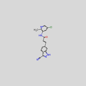 Cc1ncc(Cl)cc1NC(=O)/C=C/c1ccc2c(C#N)n[nH]c2c1